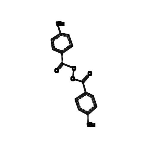 CC(C)(C)c1ccc(C(=O)OOC(=O)c2ccc(C(C)(C)C)cc2)cc1